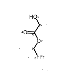 CCCCOC(=O)[CH]O